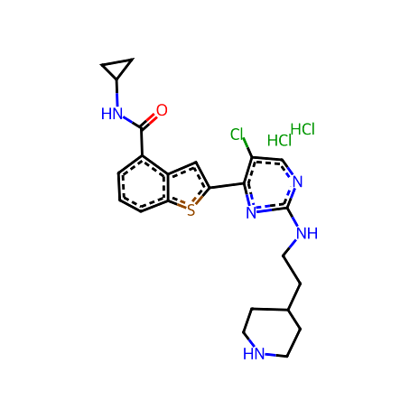 Cl.Cl.O=C(NC1CC1)c1cccc2sc(-c3nc(NCCC4CCNCC4)ncc3Cl)cc12